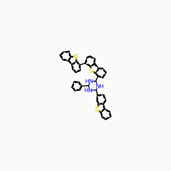 c1ccc(C2NC(c3ccc4c(c3)sc3ccccc34)NC(c3cccc4c3sc3c(-c5cccc6c5sc5ccccc56)cccc34)N2)cc1